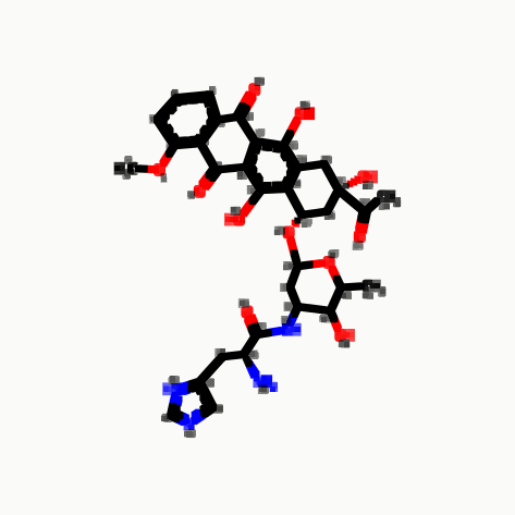 COc1cccc2c1C(=O)c1c(O)c3c(c(O)c1C2=O)C[C@@](O)(C(C)=O)C[C@@H]3OC1CC(NC(=O)[C@@H](N)Cc2cnc[nH]2)C(O)C(C)O1